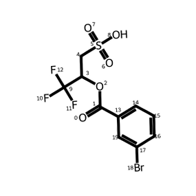 O=C(OC(CS(=O)(=O)O)C(F)(F)F)c1cccc(Br)c1